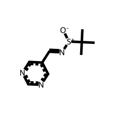 CC(C)(C)[S+]([O-])/N=C/c1cncnc1